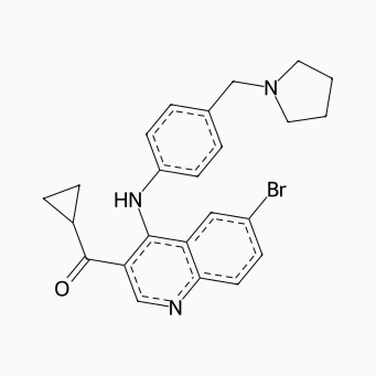 O=C(c1cnc2ccc(Br)cc2c1Nc1ccc(CN2CCCC2)cc1)C1CC1